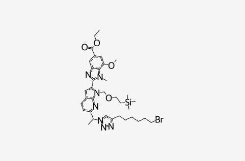 CCOC(=O)c1cc(OC)c2c(c1)nc(-c1cc3ccc(C(C)n4cc(CCCCCCBr)nn4)nc3n1COCC[Si](C)(C)C)n2C